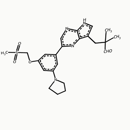 CC(C)(C=O)Cc1c[nH]c2ncc(-c3cc(OCS(C)(=O)=O)cc(N4CCCC4)c3)nc12